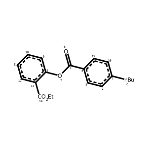 CCCCc1ccc(C(=O)Oc2ccccc2C(=O)OCC)cc1